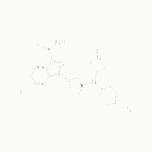 N#CC1CCC(N(C(=O)CNc2nn(C(N)=O)c3ccc(C(F)(F)F)cc23)C2CNC2)CC1